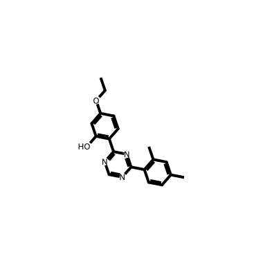 CCOc1ccc(-c2ncnc(-c3ccc(C)cc3C)n2)c(O)c1